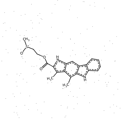 Cc1c(C(=O)OCC[S+](C)[O-])[nH]c2cc3c([nH]c4ccccc43)c(C)c12